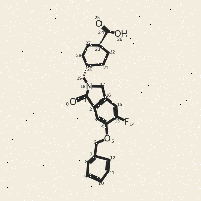 O=C1c2cc(OCc3ccccc3)c(F)cc2CN1C[C@H]1CC[C@H](C(=O)O)CC1